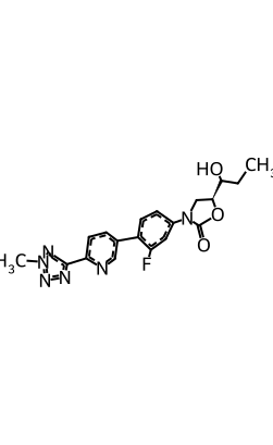 CCC(O)[C@@H]1CN(c2ccc(-c3ccc(-c4nnn(C)n4)nc3)c(F)c2)C(=O)O1